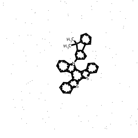 CC1(C)c2ccccc2-c2ccc(-n3c4ccccc4c4c5c6ccccc6sc5c5sc6ccccc6c5c43)cc21